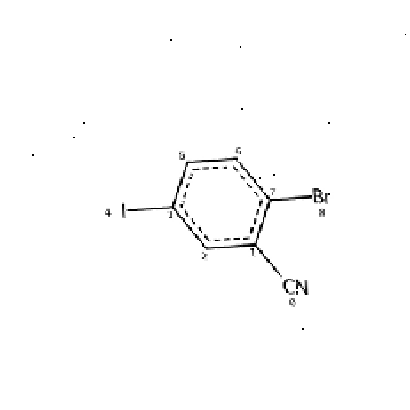 N#Cc1cc(I)ccc1Br